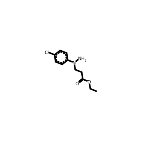 CCOC(=O)CCN(N)c1ccc(Cl)cc1